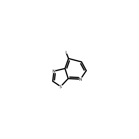 Ic1ccnc2scnc12